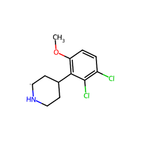 COc1ccc(Cl)c(Cl)c1C1C[CH]NCC1